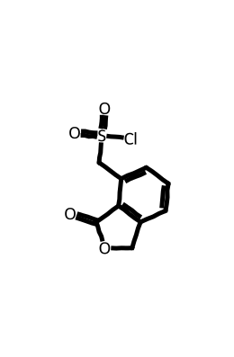 O=C1OCc2cccc(CS(=O)(=O)Cl)c21